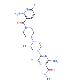 CCNC(=O)c1nc(Cl)c(N2CCN(C3CCN(C(=O)c4ccc(Cl)nc4N)CC3)[C@@H](CC)C2)nc1N